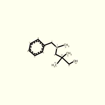 CN(Cc1ccccc1)CC(C)(C)CO